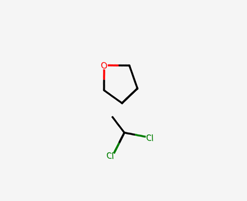 C1CCOC1.CC(Cl)Cl